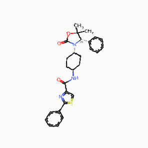 CC1(C)OC(=O)N([C@H]2CC[C@H](NC(=O)c3csc(-c4ccccc4)n3)CC2)[C@H]1c1ccccc1